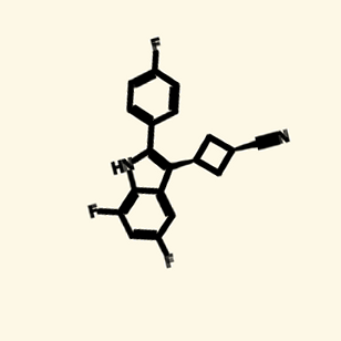 N#C[C@H]1C[C@@H](c2c(-c3ccc(F)cc3)[nH]c3c(F)cc(F)cc32)C1